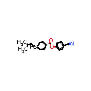 CC(C)CC[Si@H]1CC[C@H](C(=O)Oc2ccc(C#N)cc2)CC1